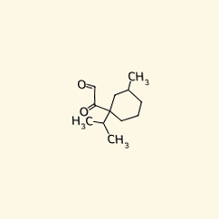 CC1CCCC(C(=O)C=O)(C(C)C)C1